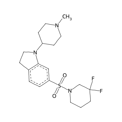 CN1CCC(N2CCc3ccc(S(=O)(=O)N4CCCC(F)(F)C4)cc32)CC1